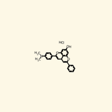 CN(C)c1ccc(C2=CC3C=C(c4ccccc4)Oc4cc(O)cc(c43)O2)cc1.Cl